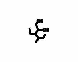 CCC(C)C(CC)C(O)CO